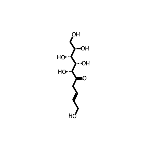 O=C(CC=CCO)[C@H](O)[C@@H](O)[C@H](O)[C@H](O)CO